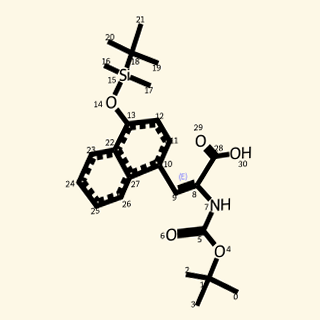 CC(C)(C)OC(=O)N/C(=C/c1ccc(O[Si](C)(C)C(C)(C)C)c2ccccc12)C(=O)O